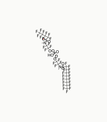 CN(C(F)(F)C(F)(F)OOP(=O)(O)OOC(F)(F)C(F)(F)N(C)S(=O)(=O)C(F)(F)C(F)(F)C(F)(F)C(F)(F)C(F)(F)C(F)(F)C(F)(F)C(F)(F)F)S(=O)(=O)C(F)(F)C(F)(F)C(F)(F)C(F)(F)F